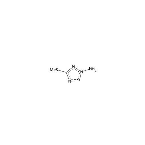 CSc1ncn(N)n1